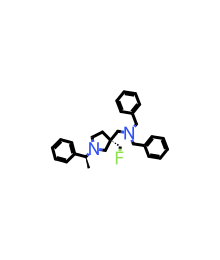 C[C@@H](c1ccccc1)N1CC[C@@](CF)(CN(Cc2ccccc2)Cc2ccccc2)C1